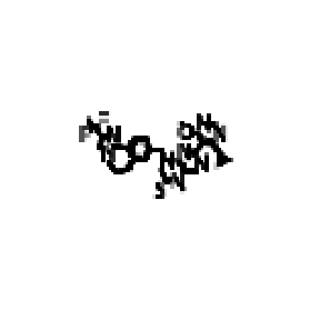 COc1ncnc(C2CC2)c1-c1ncc2c(n1)N(Cc1ccc3c(c1)CCCn1cc(C(C)(F)F)nc1-3)CC(=S)N2C